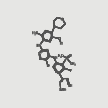 CCOc1cc(Nc2ncc(Br)c(Nc3ccc(/C(C=N)=N/NC)c(F)c3P(C)(C)=O)n2)c(C)cc1N1CCOCC1